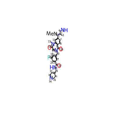 CN/C(=C(/C)C=N)c1ccc2c(c1)N(C)C(=O)[C@@H](C)N(Cc1cc(F)cc(C(=O)NCC3CCN(C)CC3)c1)C2=O